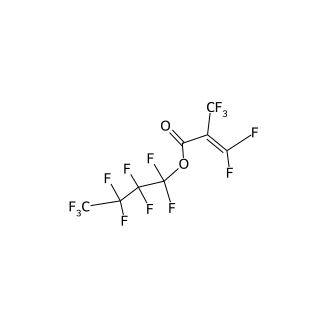 O=C(OC(F)(F)C(F)(F)C(F)(F)C(F)(F)F)C(=C(F)F)C(F)(F)F